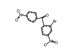 O=C(c1ccc([N+](=O)[O-])cc1)c1ccc([N+](=O)[O-])cc1Br